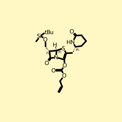 C=CCOC(=O)OC1=C(C[C@H]2CCCC(=O)N2)S[C@@H]2[C@@H](CO[Si](C)(C)C(C)(C)C)C(=O)N12